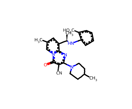 Cc1cc([C@@H](C)Nc2ccccc2C(=O)O)c2nc(N3CCC(C)CC3)c(C#N)c(=O)n2c1